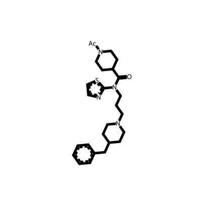 CC(=O)N1CCC(C(=O)N(CCCN2CCC(Cc3ccccc3)CC2)c2nccs2)CC1